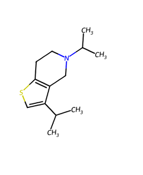 CC(C)c1csc2c1CN(C(C)C)CC2